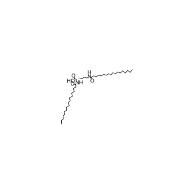 CCCCCCCCCCCCCCCCCC(=O)NCCCC[C@H](NC(=O)CCCCCCCCCCCCCCCCC)C(=O)O